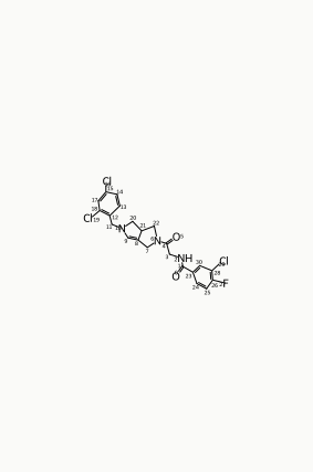 O=C(NCC(=O)N1CC2=CN(Cc3ccc(Cl)cc3Cl)CC2C1)c1ccc(F)c(Cl)c1